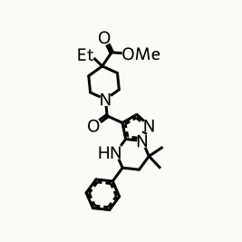 CCC1(C(=O)OC)CCN(C(=O)c2cnn3c2NC(c2ccccc2)CC3(C)C)CC1